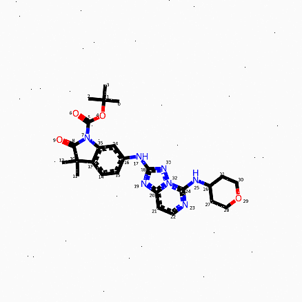 CC(C)(C)OC(=O)N1C(=O)C(C)(C)c2ccc(Nc3nc4ccnc(NC5CCOCC5)n4n3)cc21